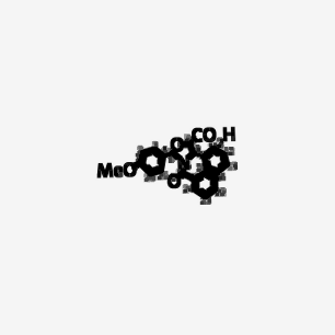 COc1ccc([C@H]2O[C@@H](C(=O)O)[C@H](c3ccccc3)N2C(=O)c2ccccc2)cc1